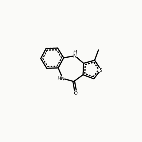 Cc1scc2c1Nc1ccccc1NC2=O